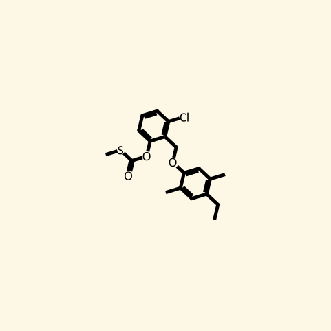 CCc1cc(C)c(OCc2c(Cl)cccc2OC(=O)SC)cc1C